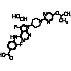 CC(C)Oc1cnc(N2CCC(n3cc(F)c4c(Nc5ccc(C(=O)O)cc5F)ncnc43)CC2)nc1.Cl.Cl